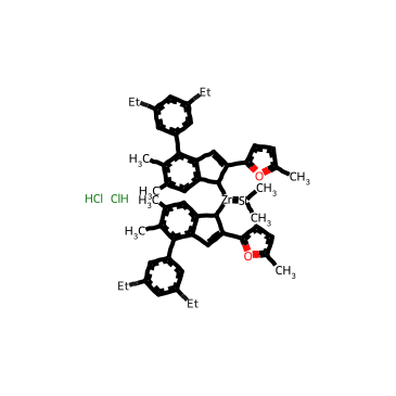 CCc1cc(CC)cc(-c2c(C)c(C)cc3c2C=C(c2ccc(C)o2)[CH]3[Zr]([CH]2C(c3ccc(C)o3)=Cc3c2cc(C)c(C)c3-c2cc(CC)cc(CC)c2)=[Si](C)C)c1.Cl.Cl